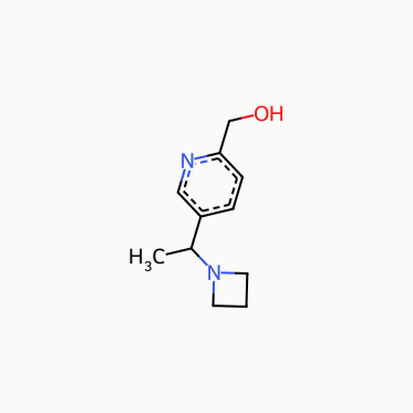 CC(c1ccc(CO)nc1)N1CCC1